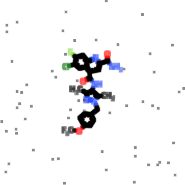 Cc1nn(Cc2ccc(OC(F)(F)F)cc2)c(C)c1NC(=O)c1cc(C(N)=O)nc2cc(F)c(Cl)cc12